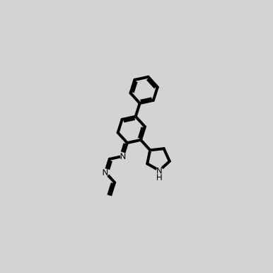 C=C/N=C\N=C1/CC=C(c2ccccc2)C=C1C1CCNC1